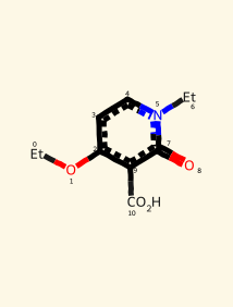 CCOc1ccn(CC)c(=O)c1C(=O)O